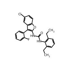 CCc1cccc(CC)c1NC(=O)Nc1oc2ccc(Cl)cc2c1-c1ccccc1F